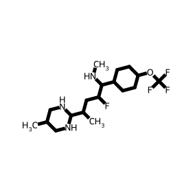 CNC(C(F)CC(C)C1NCC(C)CN1)C1CCC(OC(F)(F)F)CC1